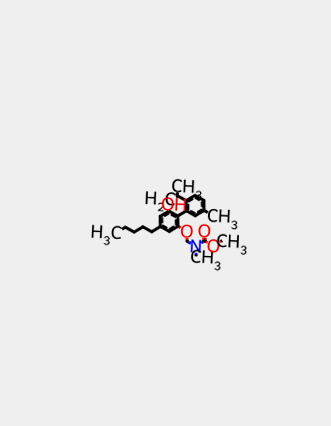 C=C(C)c1ccc(C)cc1-c1c(O)cc(CCCCC)cc1OCN(C)C(=O)OC